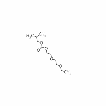 CCOCCOCCOC(=O)OCC(C)C